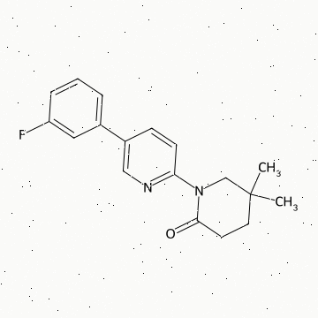 CC1(C)CCC(=O)N(c2ccc(-c3cccc(F)c3)cn2)C1